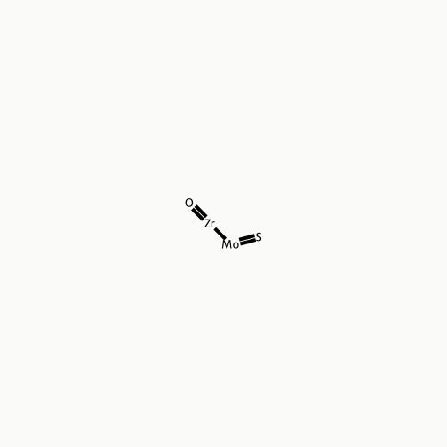 [O]=[Zr][Mo]=[S]